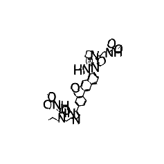 CCCN(Cc1ncc(-c2ccc3c(c2)COc2cc4c(ccc5nc([C@@H]6CCCN6C(=O)CNC(=O)OC)[nH]c54)cc2-3)[nH]1)C(=O)CNC(=O)OC